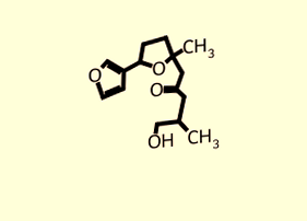 CC(CO)CC(=O)CC1(C)CCC(c2ccoc2)O1